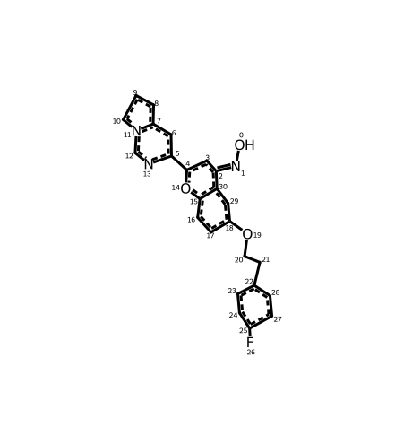 ON=c1cc(-c2cc3cccn3cn2)oc2ccc(OCCc3ccc(F)cc3)cc12